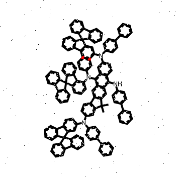 CC1(C)c2cc(N(c3ccc(-c4ccccc4)cc3)c3ccc4c(c3)C3(c5ccccc5-c5ccccc53)c3ccccc3-4)ccc2-c2cc3c(N(c4ccccc4)c4cccc5c4-c4ccccc4C54c5ccccc5-c5ccccc54)c4cc(N(c5ccc(-c6ccccc6)cc5)c5ccc6c(c5)C5(c7ccccc7-c7ccccc75)c5ccccc5-6)ccc4c(Nc4ccc(-c5ccccc5)cc4)c3cc21